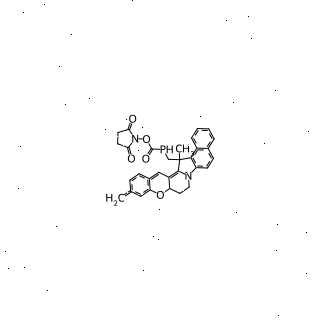 C=c1ccc2c(c1)OC1CCN3C(=C1C=2)C(C)(CPC(=O)ON1C(=O)CCC1=O)c1c3ccc2ccccc12